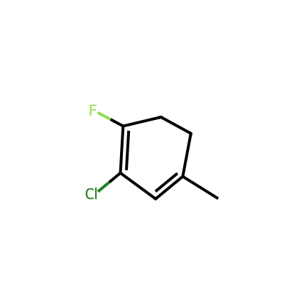 CC1=CC(Cl)=C(F)CC1